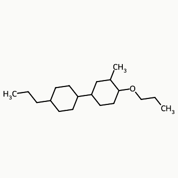 CCCOC1CCC(C2CCC(CCC)CC2)CC1C